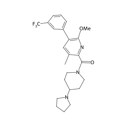 COc1nc(C(=O)N2CCC(N3CCCC3)CC2)c(C)cc1-c1cccc(C(F)(F)F)c1